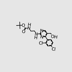 CC(C)(C)OC(=O)NCCNc1ncc(CO)c(-c2ccc(Cl)cc2Cl)n1